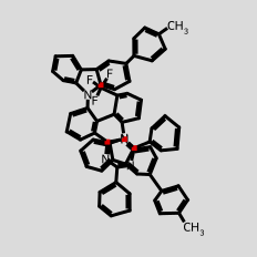 Cc1ccc(-c2ccc3c(c2)c2ccccc2n3-c2cccc(-c3nc(-c4ccccc4)nc(-c4ccccc4)n3)c2-c2c(-n3c4ccccc4c4cc(-c5ccc(C)cc5)ccc43)cccc2C(F)(F)F)cc1